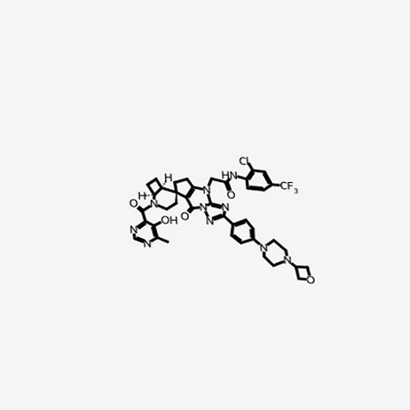 Cc1ncnc(C(=O)N2CC[C@]3(CCc4c3c(=O)n3nc(-c5ccc(N6CCN(C7COC7)CC6)cc5)nc3n4CC(=O)Nc3ccc(C(F)(F)F)cc3Cl)[C@@H]3CC[C@@H]32)c1O